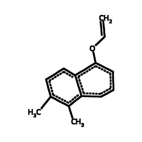 C=COc1cccc2c(C)c(C)ccc12